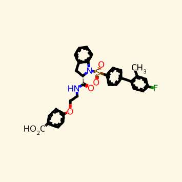 Cc1cc(F)ccc1-c1ccc(S(=O)(=O)N2c3ccccc3C[C@H]2C(=O)NCCOc2ccc(C(=O)O)cc2)cc1